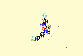 Cc1nsc(Nc2cnc(C(F)(F)F)cn2)c1C(=O)Nc1ccc(C2CCN(CC(F)F)CC2)nc1